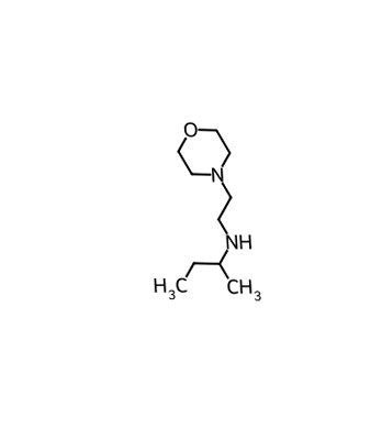 CCC(C)NCCN1CCOCC1